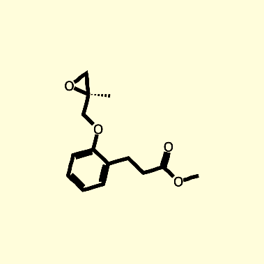 COC(=O)CCc1ccccc1OC[C@]1(C)CO1